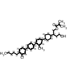 C=C(C)C(=O)OCC(CCO)C1CCC(c2ccc(-c3ccc(-c4ccc(CCCCC)c(Cl)c4)cc3)c(C)c2)CC1